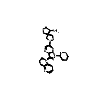 NC1CCCC12CCN(c1cnc3c(N4CCCc5ncccc54)nn(C4CCCCO4)c3n1)C2